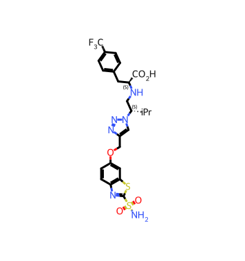 CC(C)[C@@H](CN[C@@H](Cc1ccc(C(F)(F)F)cc1)C(=O)O)n1cc(COc2ccc3nc(S(N)(=O)=O)sc3c2)nn1